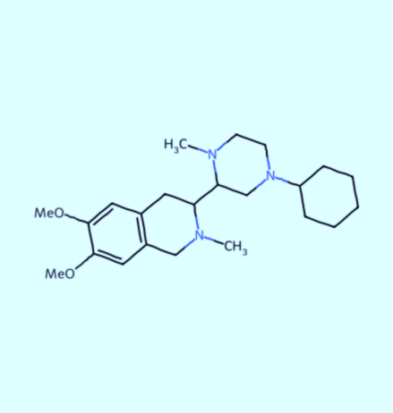 COc1cc2c(cc1OC)CN(C)C(C1CN(C3CCCCC3)CCN1C)C2